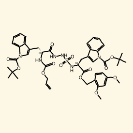 C=CCOC(=O)N[C@H](Cc1cn(C(=O)OC(C)(C)C)c2ccccc12)C(=O)NNS(=O)(=O)N[C@@H](Cc1cn(C(=O)OC(C)(C)C)c2ccccc12)C(=O)OCc1ccc(OC)cc1OC